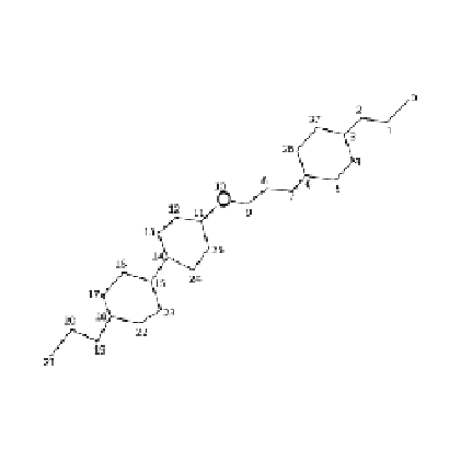 CCCC1CCC(CCCOC2CCC(C3CCC(CCC)CC3)CC2)CC1